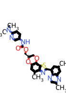 Cc1cc(-c2nc3c(C)cc4c(c3s2)OC[C@H](COC(=O)Nc2ccc(N(C)C)nc2)O4)c2ncc(C)nc2c1